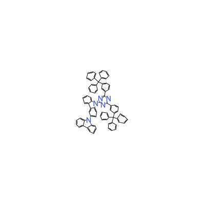 c1ccc(C(c2ccccc2)(c2ccccc2)c2cccc(-c3nc(-c4cccc(C(c5ccccc5)(c5ccccc5)c5ccccc5)c4)nc(-n4c5ccccc5c5cc(-n6c7ccccc7c7ccccc76)ccc54)n3)c2)cc1